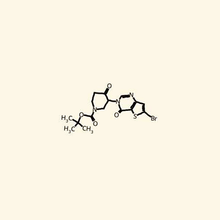 CC(C)(C)OC(=O)N1CCC(=O)C(n2cnc3cc(Br)sc3c2=O)C1